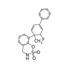 CC1(c2cccc3c2OS(=O)(=O)NC3)C=CC(c2ccccc2)=CC1F